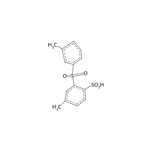 Cc1cccc(S(=O)(=O)c2cc(C)ccc2S(=O)(=O)O)c1